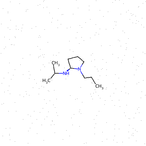 CCCN1CCC[C@@H]1NC(C)C